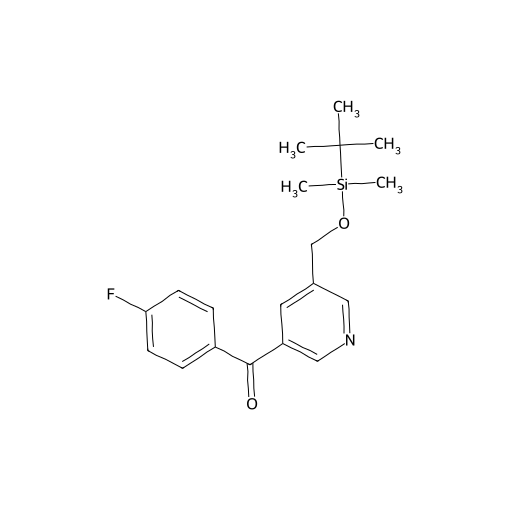 CC(C)(C)[Si](C)(C)OCc1cncc(C(=O)c2ccc(F)cc2)c1